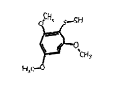 COc1cc(OC)c(SS)c(OC)c1